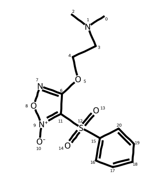 CN(C)CCOc1no[n+]([O-])c1S(=O)(=O)c1ccccc1